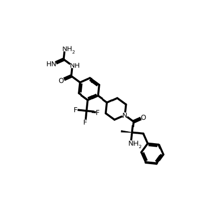 C[C@](N)(Cc1ccccc1)C(=O)N1CCC(c2ccc(C(=O)NC(=N)N)cc2C(F)(F)F)CC1